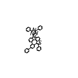 c1ccc(-c2ccc3c(c2)-c2cccc4c2c2c5c-3c(-c3ccccc3)sc5ccc2n4-c2nc(-c3ccccc3)nc(-c3ccccc3)n2)cc1